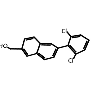 OCc1ccc2cc(-c3c(Cl)cccc3Cl)ccc2c1